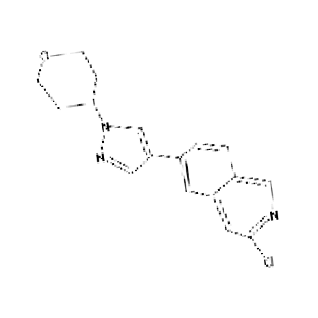 Clc1cc2cc(-c3cnn(C4CCOCC4)c3)ccc2cn1